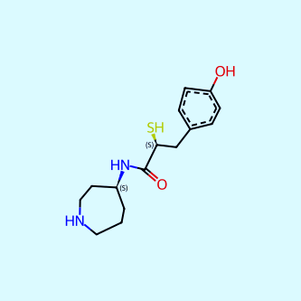 O=C(N[C@H]1CCCNCC1)[C@@H](S)Cc1ccc(O)cc1